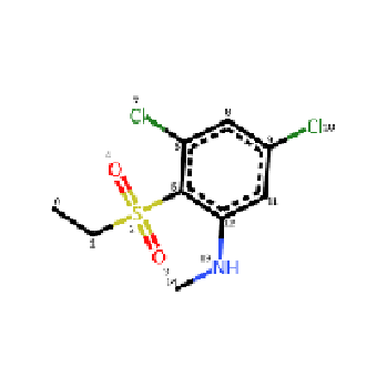 CCS(=O)(=O)c1c(Cl)cc(Cl)cc1NC